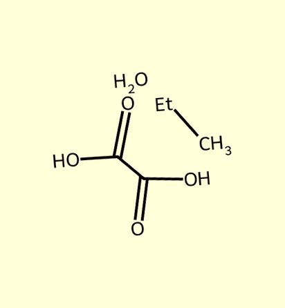 CCC.O.O=C(O)C(=O)O